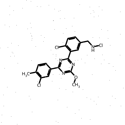 COc1nc(-c2ccc(C)c(Cl)c2)nc(-c2cc(CNCl)ccc2Cl)n1